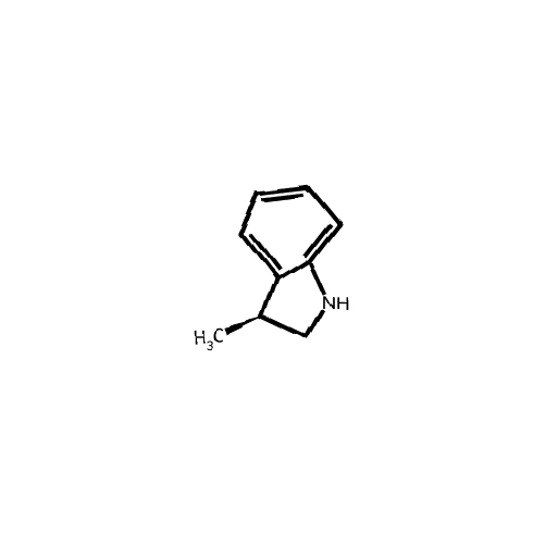 C[C@@H]1CNc2ccccc21